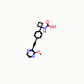 COc1nccnc1C#Cc1ccc(C2(NC(=O)O)CCC2)cc1